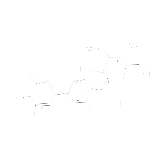 C=C/C=C(\C=C(\F)CC(F)(F)F)c1ccc([C@@H](O)[C@H]2OC(CO)[C@@H](OC)C(OC)C2O)c(C)c1